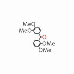 COc1ccc(C(=O)c2cccc(OC)c2OC)cc1OC